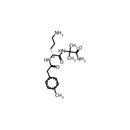 Cc1ccc(CC(=O)N[C@H](CCCN)C(=O)NC(C)(C)C(N)=O)cc1